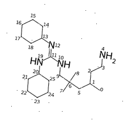 CC(CCN)CC(C)(C)CNC(=NC1CCCCC1)NC1CCCCC1